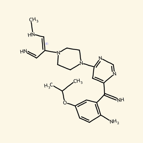 CN/C=C(\C=N)N1CCN(c2cc(C(=N)c3cc(OC(C)C)ccc3N)ncn2)CC1